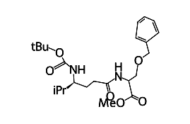 COC(=O)C(COCc1ccccc1)NC(=O)CC[C@H](NC(=O)OC(C)(C)C)C(C)C